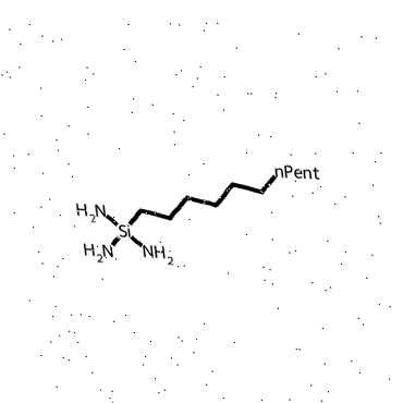 CCCCCCCCCCC[Si](N)(N)N